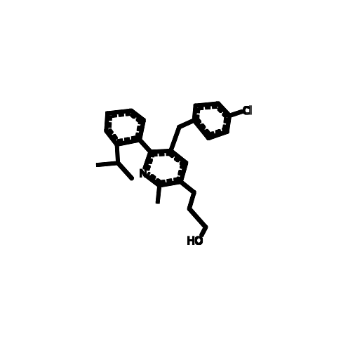 Cc1nc(-c2ccccc2C(C)C)c(Cc2ccc(Cl)cc2)cc1CCCO